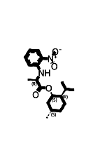 CC(C)[C@H]1CC[C@H](C)C[C@@H]1OC(=O)[C@@H](C)Nc1ccccc1[N+](=O)[O-]